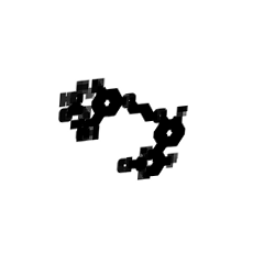 C[SH](O)(Cc1cc(N)cc(OCCCOc2cc(-c3nc(Cl)ncc3F)ccc2F)c1)=NC(=O)O